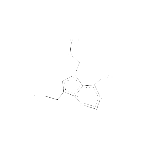 CCCCOCn1cc(CC=O)c2ncnc(OC)c21